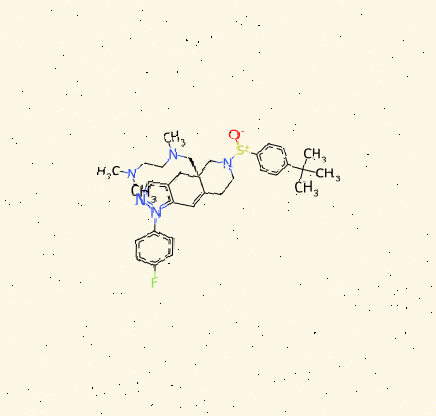 CN(C)CCN(C)C[C@]12Cc3cnn(-c4ccc(F)cc4)c3C=C1CCN([S+]([O-])c1ccc(C(C)(C)C)cc1)C2